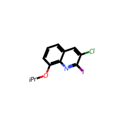 CC(C)Oc1cccc2cc(Cl)c(I)nc12